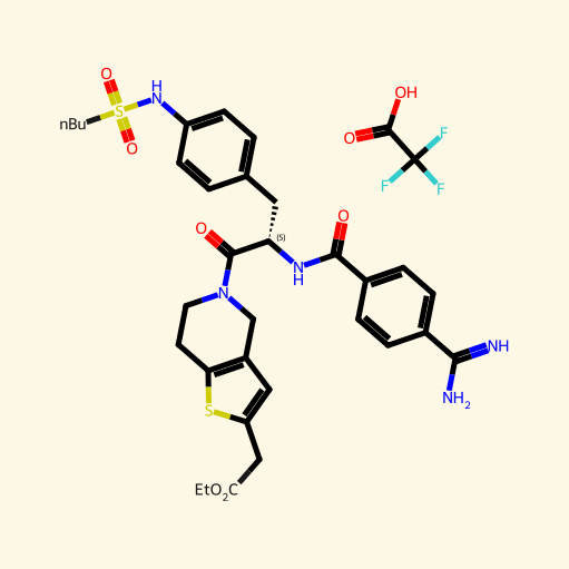 CCCCS(=O)(=O)Nc1ccc(C[C@H](NC(=O)c2ccc(C(=N)N)cc2)C(=O)N2CCc3sc(CC(=O)OCC)cc3C2)cc1.O=C(O)C(F)(F)F